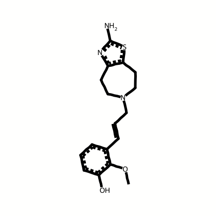 COc1c(O)cccc1C=CCN1CCc2nc(N)sc2CC1